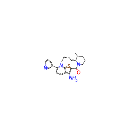 C/C=C\C=C1/C(C)CCCN1C(=O)c1sc2nc(-c3cccnc3)ccc2c1N